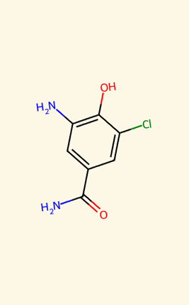 NC(=O)c1cc(N)c(O)c(Cl)c1